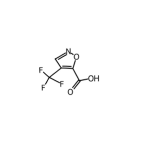 O=C(O)c1oncc1C(F)(F)F